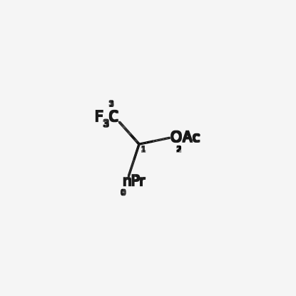 CCCC(OC(C)=O)C(F)(F)F